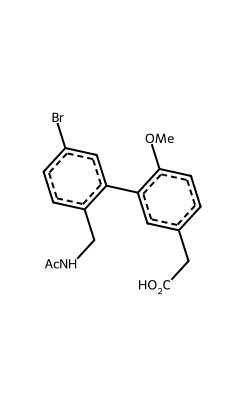 COc1ccc(CC(=O)O)cc1-c1cc(Br)ccc1CNC(C)=O